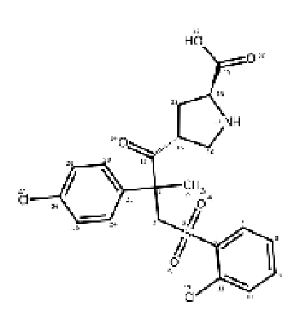 CC(CS(=O)(=O)c1ccccc1Cl)(C(=O)[C@H]1CN[C@H](C(=O)O)C1)c1ccc(Cl)cc1